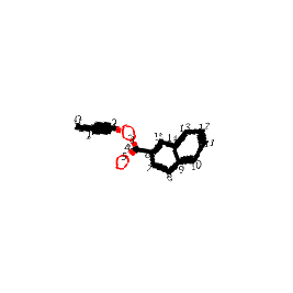 CC#COC(=O)c1ccc2ccccc2c1